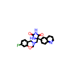 O=C1NC(=O)C(CN2COc3cc(F)ccc3C2)(c2ccc3ncccc3c2)N1